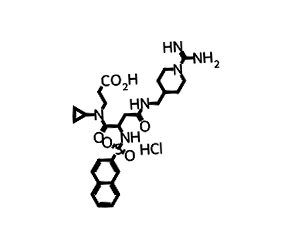 Cl.N=C(N)N1CCC(CNC(=O)CC(NS(=O)(=O)c2ccc3ccccc3c2)C(=O)N(CCC(=O)O)C2CC2)CC1